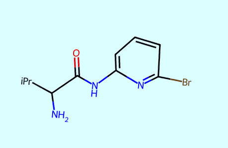 CC(C)C(N)C(=O)Nc1cccc(Br)n1